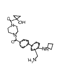 NCc1cc(-c2ccc(C(=O)N3CCN(C(=O)C4(O)CC4)CC3)cc2)ccc1NC1CCC1